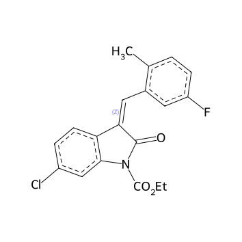 CCOC(=O)N1C(=O)/C(=C\c2cc(F)ccc2C)c2ccc(Cl)cc21